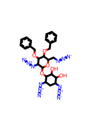 [N-]=[N+]=NCC1OC(OC2C(N=[N+]=[N-])CC(N=[N+]=[N-])C(O)C2O)C(N=[N+]=[N-])C(OCc2ccccc2)C1OCc1ccccc1